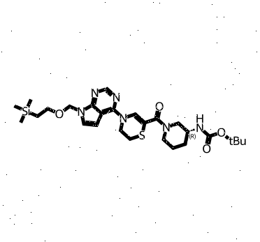 CC(C)(C)OC(=O)N[C@@H]1CCCN(C(=O)C2=CN(c3ncnc4c3ccn4COCC[Si](C)(C)C)CCS2)C1